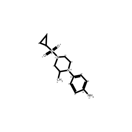 CC1CN(S(=O)(=O)C2CC2)CCN1c1ccc(N)cc1